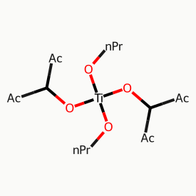 CCC[O][Ti]([O]CCC)([O]C(C(C)=O)C(C)=O)[O]C(C(C)=O)C(C)=O